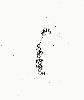 C=CC(=O)OCCCCCCCCOc1ccc(C(=O)Oc2ccc(C(CF)(CF)c3ccc(OC(=O)c4ccc(O)cc4F)cc3)cc2)c(F)c1